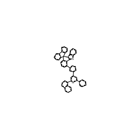 c1ccc(-c2cc(-c3cccc(-c4cccc5c4-c4sc6ccccc6c4C54c5ccccc5-c5ccccc54)c3)cc(-c3cccc4ccccc34)n2)cc1